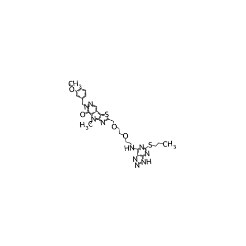 CCCSc1nc(NCCOCCOCc2nc3c(s2)c2cnn(Cc4cccc(OC)c4)c(=O)c2n3C)c2nn[nH]c2n1